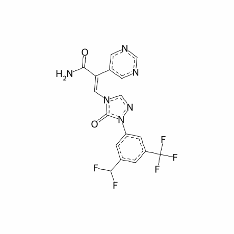 NC(=O)/C(=C/n1cnn(-c2cc(C(F)F)cc(C(F)(F)F)c2)c1=O)c1cncnc1